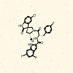 N#C[C@@H]1C[C@@]2(CN1C(=O)[C@H](Cc1ccc(F)cc1)NC(=O)c1cc3c(F)cc(F)cc3[nH]1)C(=O)Nc1ccc(Cl)cc12